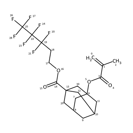 C=C(C)C(=O)OC12CC3CC(C1)CC(C(=O)OCCC(F)(F)C(F)(F)C(F)(F)F)(C3)C2